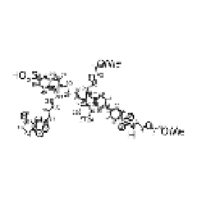 COCCOCCNS(=O)(=O)c1ccc(-c2ccc3c(c2)C2(CCCCC2)C(/C=C/C/C=C2\N(CCCCCC(=O)ON4C(=O)CCC4=O)c4ccc(S(=O)(=O)O)cc4C2(C)C)=[N+]3CCOCCOC)cc1